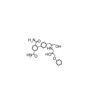 CNC(=O)c1ccc(C(N)=O)c(-c2ccc(C[C@@H](CO)NC[C@H](O)COc3ccccc3)cc2)c1